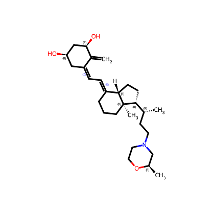 C=C1/C(=C\C=C2/CCC[C@]3(C)[C@@H]([C@H](C)CCN4CCO[C@H](C)C4)CC[C@@H]23)C[C@@H](O)C[C@H]1O